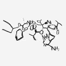 CCC(CC)COC(=O)[C@H](C)NP(=O)(OCc1ccccc1)OCC(C#N)(OC)[C@@H](OC(=O)C(C)C)[C@@H](OC(=O)C(C)C)c1ccc2c(N)ncnn12